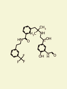 CC(C)(Cc1cccc(C(=O)NCCc2cccc(C(F)(F)F)c2)c1)NC[C@@H](O)c1ccc(O)c(NC=O)c1